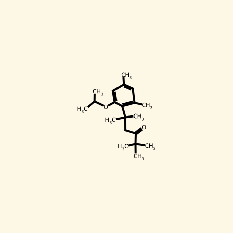 Cc1cc(C)c(C(C)(C)CC(=O)C(C)(C)C)c(OC(C)C)c1